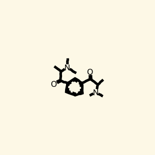 CC(C(=O)c1cccc(C(=O)C(C)N(C)C)c1)N(C)C